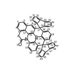 O=C1Cc2cccc3cc4c5c(c23)N1c1cccc2c1B5c1c(cccc1C41c3ccccc3-c3ccccc31)C21c2ccccc2-c2ccccc21